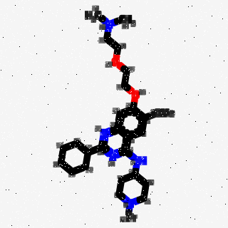 COc1cc2c(NC3CCN(C(C)C)CC3)nc(C3CCCCC3)nc2cc1OCCOCCN(C)C